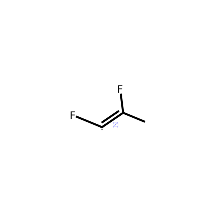 C/C(F)=[C]/F